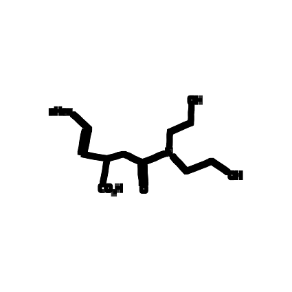 CCCCCC/C=C/C(CC(=O)N(CCO)CCO)C(=O)O